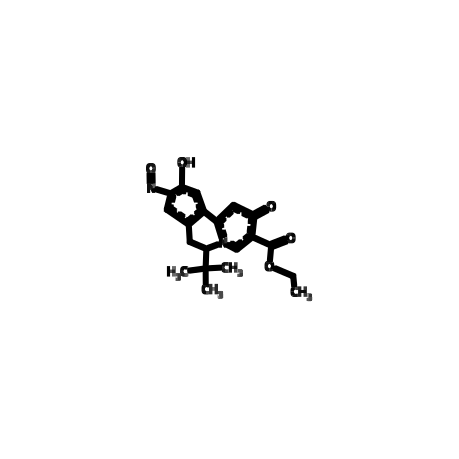 CCOC(=O)c1cn2c(cc1=O)-c1cc(O)c(N=O)cc1CC2C(C)(C)C